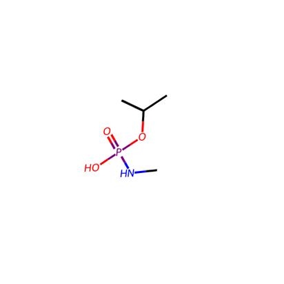 CNP(=O)(O)OC(C)C